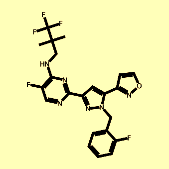 CC(C)(CNc1nc(-c2cc(-c3ccon3)n(Cc3ccccc3F)n2)ncc1F)C(F)(F)F